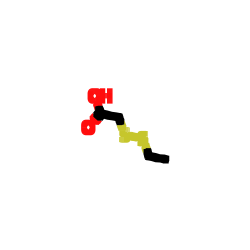 CCSSCC(=O)O